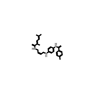 C=C(NC/C=C\CNc1ccc(NC(=C)c2ccc(C)cc2)cc1)/C(C)=C/C=C(C)C